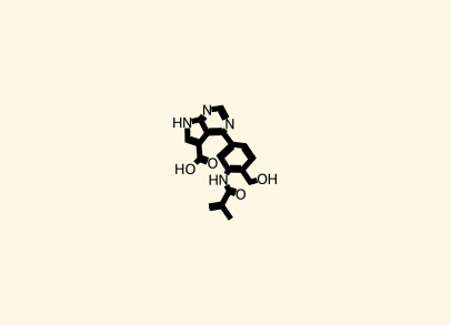 C=C(C)C(=O)Nc1cc(-c2ncnc3[nH]cc(C(=O)O)c23)ccc1CO